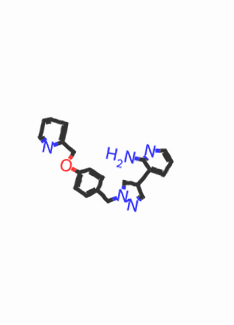 Nc1ncccc1C1C=NN(Cc2ccc(OCc3ccccn3)cc2)C1